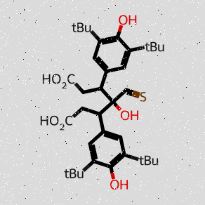 CC(C)(C)c1cc(C(CC(=O)O)C(O)(C=S)C(CC(=O)O)c2cc(C(C)(C)C)c(O)c(C(C)(C)C)c2)cc(C(C)(C)C)c1O